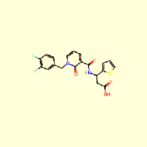 O=C(O)C[C@@H](NC(=O)c1cccn(Cc2ccc(F)c(F)c2)c1=O)c1cccs1